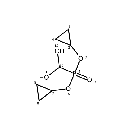 O=P(OC1CC1)(OC1CC1)C(O)O